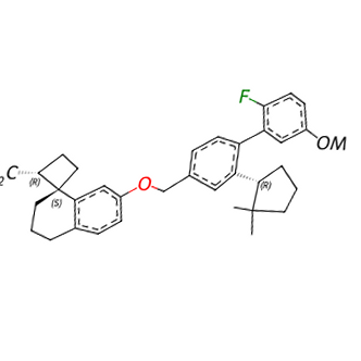 COc1ccc(F)c(-c2ccc(COc3ccc4c(c3)[C@@]3(CCC4)CC[C@H]3C(=O)O)cc2[C@@H]2CCCC2(C)C)c1